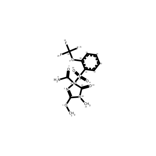 COC1=N[N+](C(N)=O)(S(=O)(=O)c2ccccc2OC(F)(F)F)C(=O)N1C